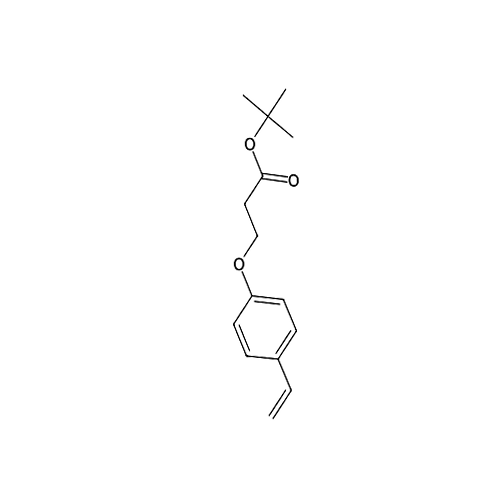 C=Cc1ccc(OCCC(=O)OC(C)(C)C)cc1